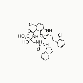 O=C(CCc1ccccc1Cl)Nc1ccc(Cl)c(C(=O)NC(O)(CNC(=O)N[C@@H]2CCc3ccccc32)C(=O)O)c1Cl